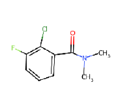 CN(C)C(=O)c1cccc(F)c1Cl